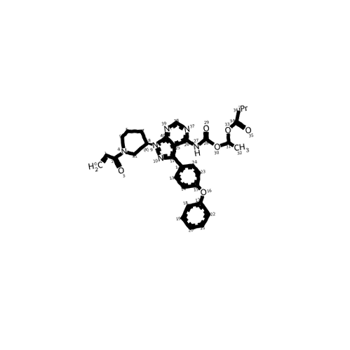 C=CC(=O)N1CCC[C@@H](n2nc(-c3ccc(Oc4ccccc4)cc3)c3c(NC(=O)OC(C)OC(=O)C(C)C)ncnc32)C1